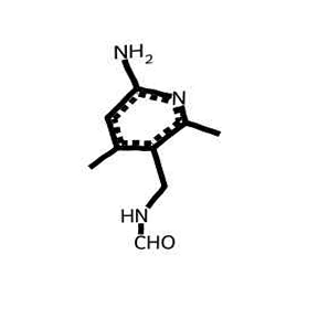 Cc1cc(N)nc(C)c1CNC=O